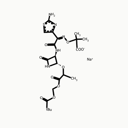 CC(O[C@@H]1NC(=O)[C@H]1NC(=O)/C(=N\OC(C)(C)C(=O)[O-])c1csc(N)n1)C(=O)OCOC(=O)C(C)(C)C.[Na+]